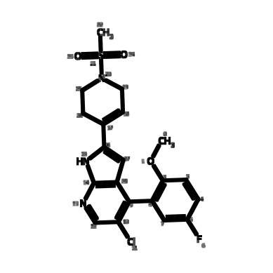 COc1ccc(F)cc1-c1c(Cl)cnc2[nH]c(C3=CCN(S(C)(=O)=O)CC3)cc12